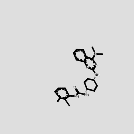 Cc1cccc(NC(=O)N[C@H]2CC[C@@H](Nc3nc(N(C)C)c4ccccc4n3)CC2)c1C